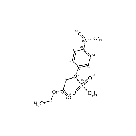 CCOC(=O)CN(c1ccc([N+](=O)[O-])cc1)S(C)(=O)=O